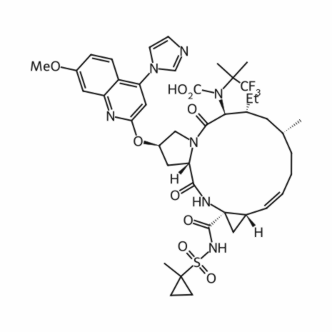 CC[C@@H]1C[C@H](C)CCC=C[C@@H]2C[C@@]2(C(=O)NS(=O)(=O)C2(C)CC2)NC(=O)[C@@H]2C[C@@H](Oc3cc(-n4ccnc4)c4ccc(OC)cc4n3)CN2C(=O)[C@H]1N(C(=O)O)C(C)(C)C(F)(F)F